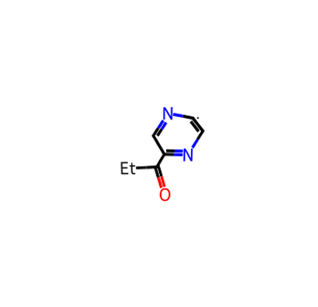 CCC(=O)c1cn[c]cn1